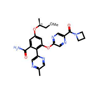 COC[C@H](C)Oc1cc(Oc2cnc(C(=O)N3CCC3)cn2)c(-c2cnc(C)cn2)c(C(N)=O)c1